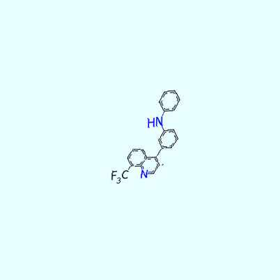 FC(F)(F)c1cccc2c(-c3cccc(Nc4ccccc4)c3)[c]cnc12